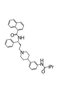 CC(C)C(=O)Nc1cccc(C2CCN(CC[C@H](NC(=O)c3cccc4ccccc34)c3ccccc3)CC2)c1